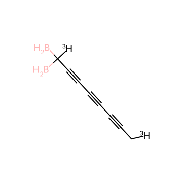 [3H]CC#CC#CC#CC([3H])(B)B